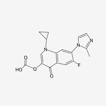 Cc1nccn1-c1cc2c(cc1F)c(=O)c(OC(=O)O)cn2C1CC1